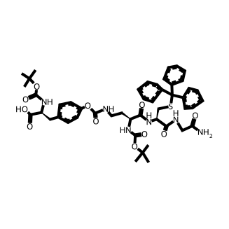 CC(C)(C)OC(=O)N[C@@H](Cc1ccc(OC(=O)NCC[C@H](NC(=O)OC(C)(C)C)C(=O)N[C@@H](CSC(c2ccccc2)(c2ccccc2)c2ccccc2)C(=O)NCC(N)=O)cc1)C(=O)O